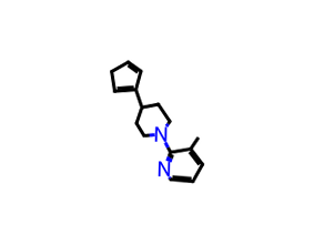 Cc1cccnc1N1CCC(C2=CCC=C2)CC1